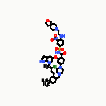 C=C(Cl)CCC1=C(CN2CCN(c3ccc(C(=O)NS(=O)(=O)c4ccc(NCCN5CCC6(CCOC6)CC5)c([N+](=O)[O-])c4)c(Oc4cnc5[nH]ccc5c4)c3)CC2)CCC(C)(C)C1